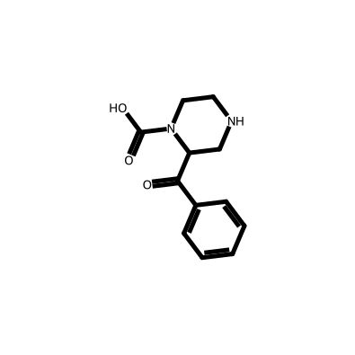 O=C(c1ccccc1)C1CNCCN1C(=O)O